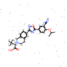 CC(C)Oc1ccc(-c2nc(-c3ccc4c(c3)CCN(C(C(=O)O)C(C)(C)C)C4)no2)cc1C#N